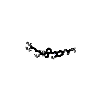 C=C1CC[C@@H](OC(C)=O)C/C1=C/C=C1CCC[C@@]2(C)C1CC[C@@H]2[C@H](C)CCCC(C)C